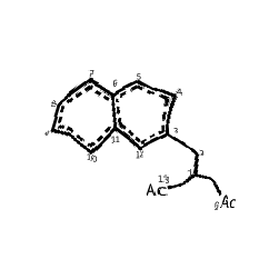 CC(=O)C(Cc1ccc2ccccc2c1)C(C)=O